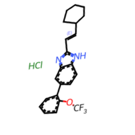 Cl.FC(F)(F)Oc1ccccc1-c1ccc2[nH]c(/C=C/C3CCCCC3)nc2c1